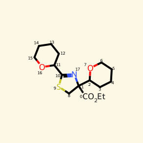 CCOC(=O)C1(C2CCCCO2)CSC(C2CCCCO2)=N1